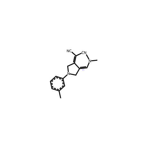 Cc1cccc(N2CC(=C(C#N)C#N)/C(=C\N(C)C)C2)c1